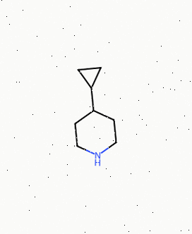 [CH]1CC(C2CC2)CCN1